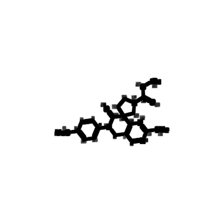 COc1ccc(N2Cc3cnc(SC)nc3C3(CCN(C(=O)OC(C)(C)C)C3)C2=O)cc1